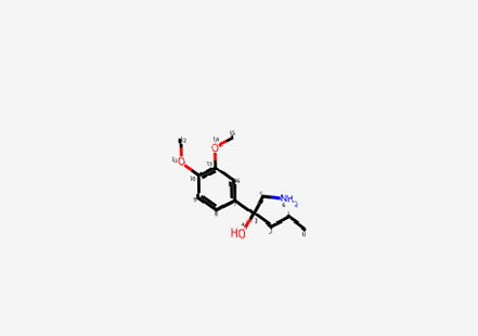 CCCC(O)(CN)c1ccc(OC)c(OC)c1